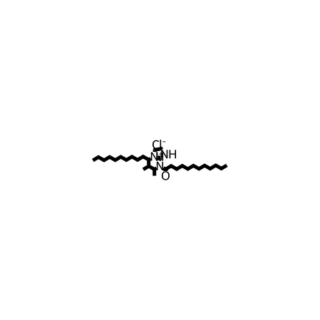 CCCCCCCCCCCC(=O)NC(C)C(C)C(CCCCCCCCCC)[N+]1=CNCC1.[Cl-]